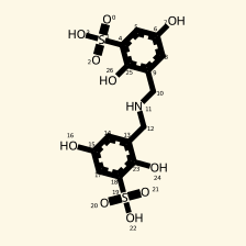 O=S(=O)(O)c1cc(O)cc(CNCc2cc(O)cc(S(=O)(=O)O)c2O)c1O